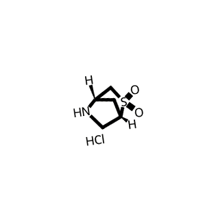 Cl.O=S1(=O)C[C@@H]2C[C@H]1CN2